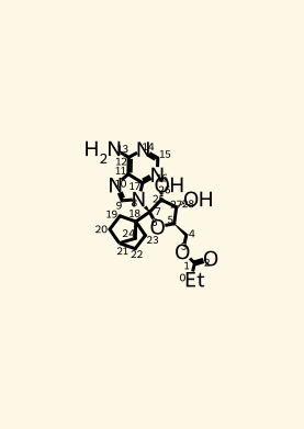 CCC(=O)OC[C@H]1O[C@](n2cnc3c(N)ncnc32)(C23CCC(CC2)C3)[C@H](O)[C@@H]1O